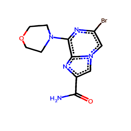 NC(=O)c1cn2cc(Br)nc(N3CCOCC3)c2n1